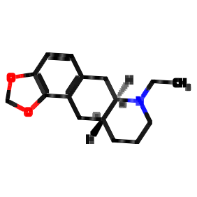 CCN1CCC[C@@H]2Cc3c(ccc4c3OCO4)C[C@H]21